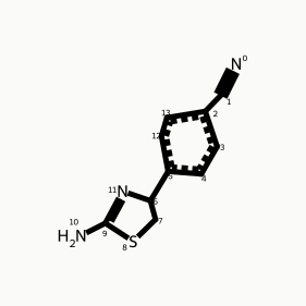 N#Cc1ccc(C2CSC(N)=N2)cc1